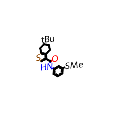 CSc1cccc(NC(=O)c2csc3c2CCC(C(C)(C)C)C3)c1